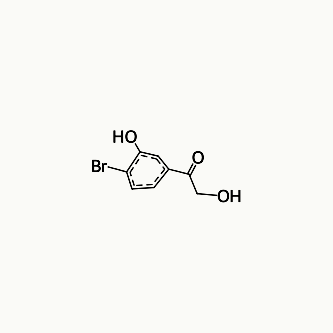 O=C(CO)c1ccc(Br)c(O)c1